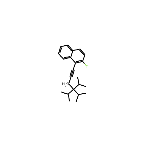 CC(C)C([SiH2]C#Cc1c(F)ccc2ccccc12)(C(C)C)C(C)C